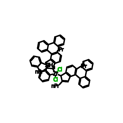 CCCC1=Cc2c(ccc(C(C)C)c2-c2ccccc2-c2ccccc2)[CH]1[Zr]([Cl])([Cl])([c]1cccc2c1[SiH2]c1ccccc1-2)[CH]1C(CCC)=Cc2c1ccc(C(C)C)c2-c1ccccc1-c1ccccc1